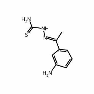 CC(=NNC(N)=S)c1cccc(N)c1